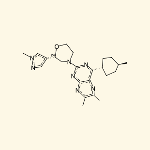 Cc1nc2nc(N3CCO[C@@H](c4cnn(C)c4)C3)nc([C@H]3CC[C@H](C)CC3)c2nc1C